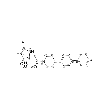 O=C1NC(=O)C(CO)(CC(=O)N2CCC(c3ccc(-c4ccccc4)cc3)CC2)N1